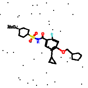 CO[C@H]1CC[C@@H](S(=O)(=O)NC(=O)c2cc(C3CC3)c(OCC3CCCC3)cc2F)CC1